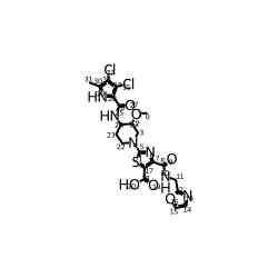 CO[C@H]1CN(c2nc(C(=O)NCc3ncco3)c(C(=O)O)s2)CCC1NC(=O)c1[nH]c(C)c(Cl)c1Cl